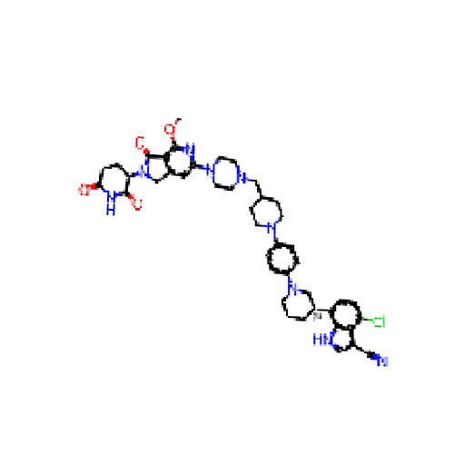 COc1nc(N2CCN(CC3CCN(c4ccc(N5CCC[C@H](c6ccc(Cl)c7c(C#N)c[nH]c67)C5)cc4)CC3)CC2)cc2c1C(=O)N(C1CCC(=O)NC1=O)C2